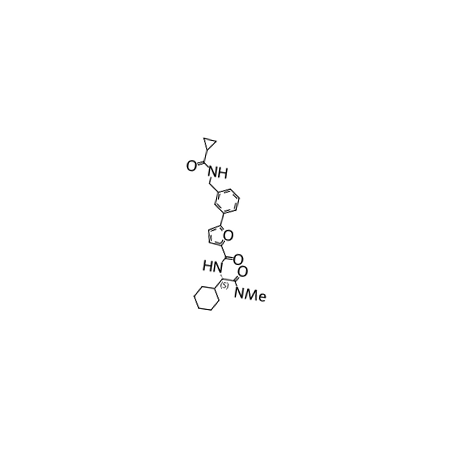 CNC(=O)[C@@H](NC(=O)c1ccc(-c2cccc(CNC(=O)C3CC3)c2)o1)C1CCCCC1